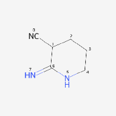 N#CC1CCCNC1=N